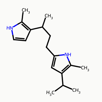 Cc1[nH]c(CCC(C)c2cc[nH]c2C)cc1C(C)C